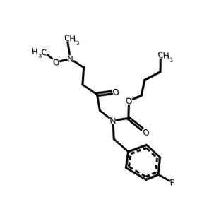 CCCCOC(=O)N(CC(=O)CCN(C)OC)Cc1ccc(F)cc1